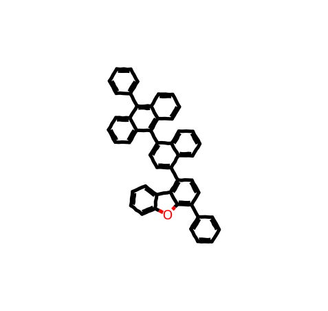 c1ccc(-c2c3ccccc3c(-c3ccc(-c4ccc(-c5ccccc5)c5oc6ccccc6c45)c4ccccc34)c3ccccc23)cc1